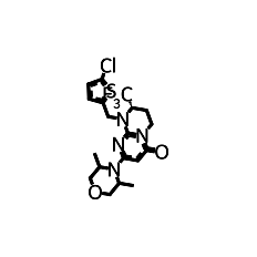 CC1COCC(C)N1c1cc(=O)n2c(n1)N(Cc1ccc(Cl)s1)[C@H](C(F)(F)F)CC2